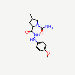 COc1ccc(NNC(=O)C2CC(C)CN2C(N)=O)cc1